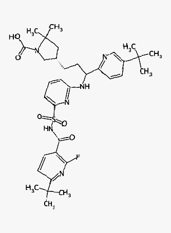 CC(C)(C)c1ccc(C(CC[C@@H]2CN(C(=O)O)C(C)(C)C2)Nc2cccc(S(=O)(=O)NC(=O)c3ccc(C(C)(C)C)nc3F)n2)nc1